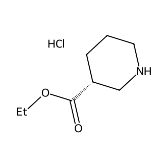 CCOC(=O)[C@@H]1CCCNC1.Cl